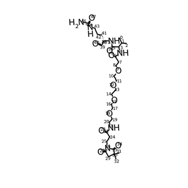 CC(C)C(NC(=O)CCOCCOCCOCCOCCNC(=O)CCN1C(=O)CC(C)(C)C1=O)C(=O)N[C@H](C=O)CCCNC(N)=O